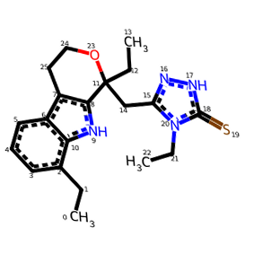 CCc1cccc2c3c([nH]c12)C(CC)(Cc1n[nH]c(=S)n1CC)OCC3